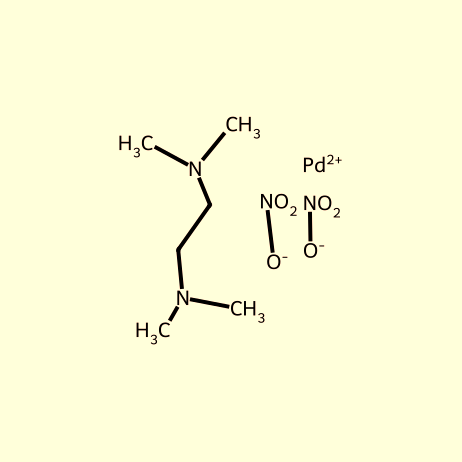 CN(C)CCN(C)C.O=[N+]([O-])[O-].O=[N+]([O-])[O-].[Pd+2]